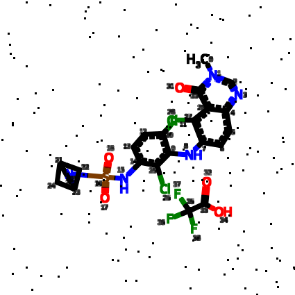 Cn1cnc2ccc(Nc3c(F)ccc(NS(=O)(=O)N4CC5CC4C5)c3Cl)c(Cl)c2c1=O.O=C(O)C(F)(F)F